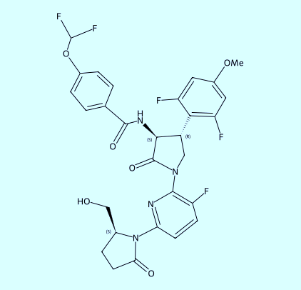 COc1cc(F)c([C@@H]2CN(c3nc(N4C(=O)CC[C@H]4CO)ccc3F)C(=O)[C@H]2NC(=O)c2ccc(OC(F)F)cc2)c(F)c1